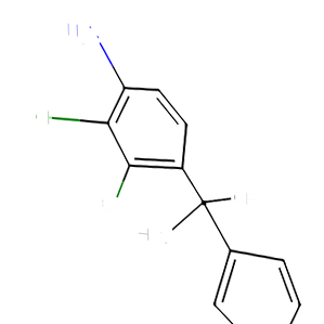 CC(C)(c1ccccc1)c1ccc(N)c(Cl)c1Cl